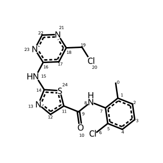 Cc1cccc(Cl)c1NC(=O)c1cnc(Nc2cc(CCl)ncn2)s1